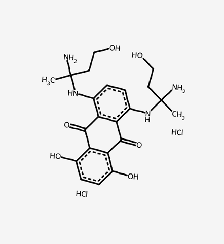 CC(N)(CCO)Nc1ccc(NC(C)(N)CCO)c2c1C(=O)c1c(O)ccc(O)c1C2=O.Cl.Cl